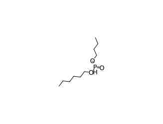 CCCCCCO[PH](=O)OCCCC